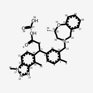 Cc1ccc(C(CC(=O)O)c2ccc3c(nnn3C)c2C)cc1CN1Cc2ccccc2O[C@@H](C)C1.O=CO